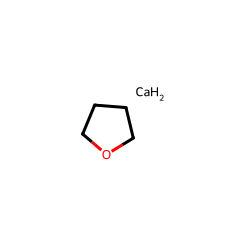 C1CCOC1.[CaH2]